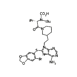 CC(C)[C@@H](C(=O)N1CCCC(CCn2c(Sc3cc4c(cc3Br)OCO4)nc3c(N)ncnc32)C1)N(C(=O)O)C(C)(C)C